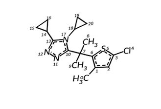 Cc1cc(Cl)sc1C(C)(C)c1nnc(C2CC2)n1C1CC1